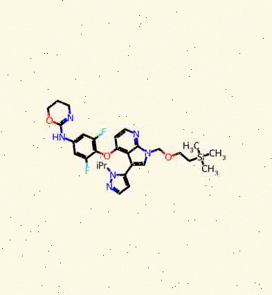 CC(C)n1nccc1-c1cn(COCC[Si](C)(C)C)c2nccc(Oc3c(F)cc(NC4=NCCCO4)cc3F)c12